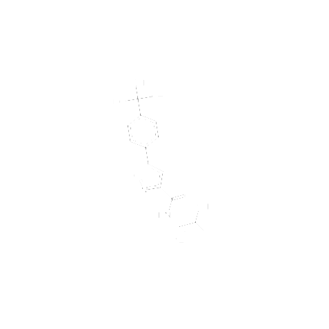 CC(C)[C@H](C)NC(=O)c1cc(-c2ccc(C(C)(C)C)cc2)on1